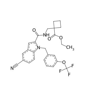 CCOC(=O)C1(CNC(=O)c2cc3cc(C#N)ccc3n2Cc2cccc(OC(F)(F)F)c2)CCC1